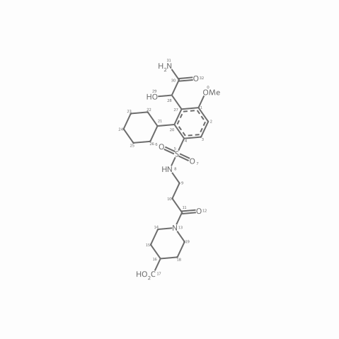 COc1ccc(S(=O)(=O)NCCC(=O)N2CCC(C(=O)O)CC2)c(C2CCCCC2)c1C(O)C(N)=O